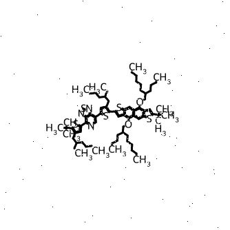 CCCCCCC(CCCC)COc1c2cc(-c3sc(-c4cnc(-c5cc(CC(CC)CCCC)c(C(C)(C)C)s5)c5nsnc45)cc3CC(CC)CCCC)sc2cc2c(OCC(CCCC)CCCCCC)c3cc(C(C)(C)C)sc3cc12